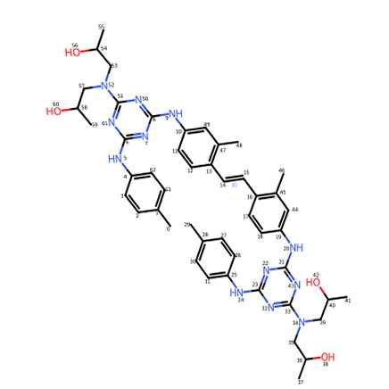 Cc1ccc(Nc2nc(Nc3ccc(/C=C/c4ccc(Nc5nc(Nc6ccc(C)cc6)nc(N(CC(C)O)CC(C)O)n5)cc4C)c(C)c3)nc(N(CC(C)O)CC(C)O)n2)cc1